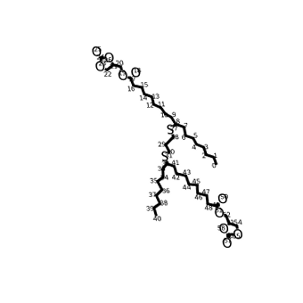 CCCCCCCCC(CCCCCCCCC(=O)OCC1COC(=O)O1)SCCCSC(CCCCCCCC)CCCCCCCCC(=O)OCC1COC(=O)O1